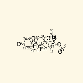 CC(=O)OCC(=O)[C@@]1(OC(C)=O)C(C)(F)C[C@H]2[C@@H]3CCC4=CC(=O)CC[C@]4(C)[C@]34OC4C[C@@]21C